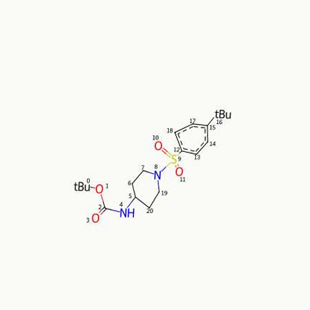 CC(C)(C)OC(=O)NC1CCN(S(=O)(=O)c2ccc(C(C)(C)C)cc2)CC1